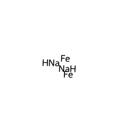 [Fe].[Fe].[NaH].[NaH]